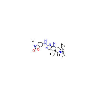 CC1(C)CC(Nc2nc(Nc3ccc4c(c3)oc(=O)n4CC3CC3)ncc2C#N)CC(C)(C)N1